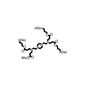 CCCCCCCCCCCCCOC(=O)CCN(CCC(=O)OC)CCN1CCN(CCN(CCC(=O)OCCCCCCCCCCCCC)CCC(=O)OCCCCCCCCCCCCC)CC1